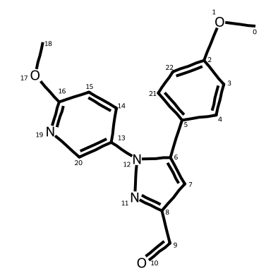 COc1ccc(-c2cc(C=O)nn2-c2ccc(OC)nc2)cc1